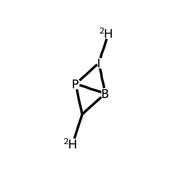 [2H]C1B2P1I2[2H]